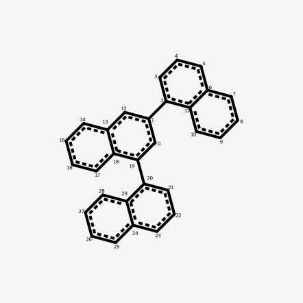 [c]1c(-c2cccc3ccccc23)cc2ccccc2c1-c1cccc2ccccc12